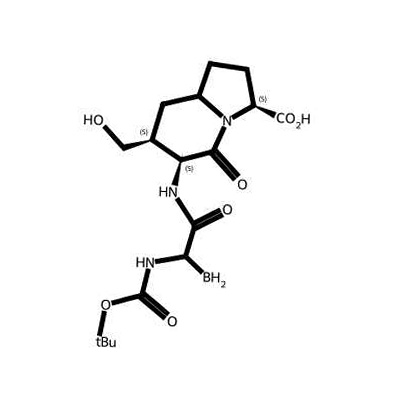 BC(NC(=O)OC(C)(C)C)C(=O)N[C@@H]1C(=O)N2C(CC[C@H]2C(=O)O)C[C@@H]1CO